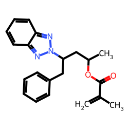 C=C(C)C(=O)OC(C)CC(Cc1ccccc1)n1nc2ccccc2n1